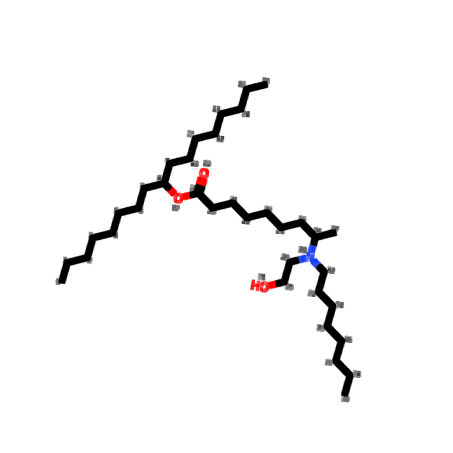 CCCCCCCCC(CCCCCCCC)OC(=O)CCCCCCC(C)N(CCO)CCCCCCCC